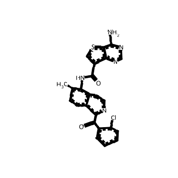 Cc1ccc2c(C(=O)c3ccccc3Cl)nccc2c1NC(=O)c1csc2c(N)ncnc12